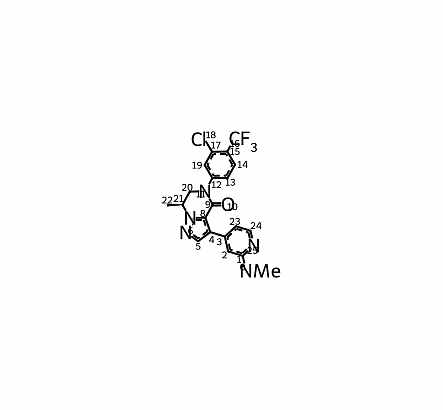 CNc1cc(-c2cnn3c2C(=O)N(c2ccc(C(F)(F)F)c(Cl)c2)C[C@@H]3C)ccn1